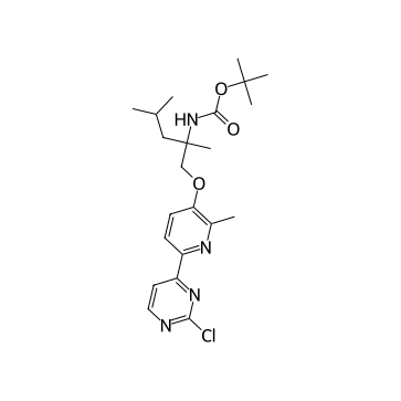 Cc1nc(-c2ccnc(Cl)n2)ccc1OCC(C)(CC(C)C)NC(=O)OC(C)(C)C